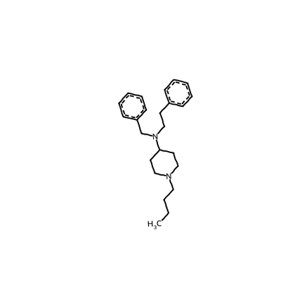 CCCCN1CCC(N(CCc2ccccc2)Cc2ccccc2)CC1